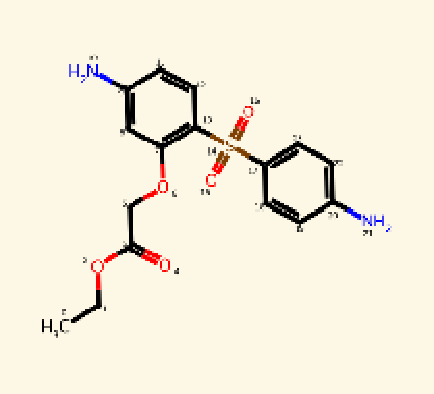 CCOC(=O)COc1cc(N)ccc1S(=O)(=O)c1ccc(N)cc1